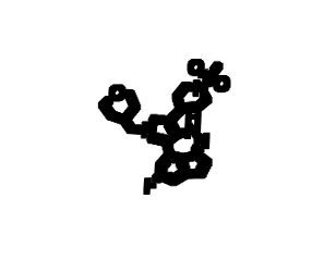 CS(=O)(=O)N1CC=C(C2=C3NN=C4C=Cc5cc(F)cc(c54)C3=CN(CC3CCOCC3)C2)CC1